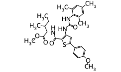 CCC(C)[C@H](NC(=O)c1sc(-c2ccc(OC)cc2)cc1NC(=O)Nc1c(C)cc(C)cc1C)C(=O)OC